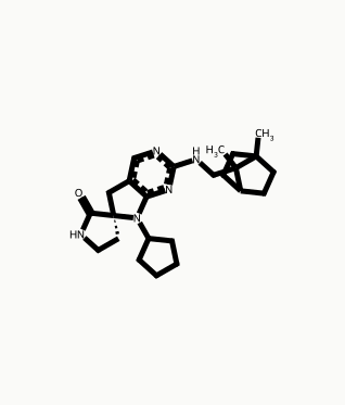 CC12CCC(CC1)C2(C)CNc1ncc2c(n1)N(C1CCCC1)[C@]1(CCNC1=O)C2